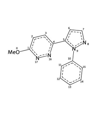 COc1ccc(-c2ccnn2-c2ccccc2)nn1